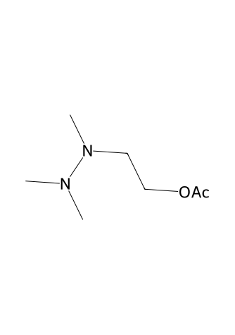 CC(=O)OCCN(C)N(C)C